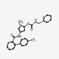 Cn1cc(NC(=O)c2ccccc2-c2ccc(C(F)(F)F)cc2)cc1OC(=O)NCc1ccccn1